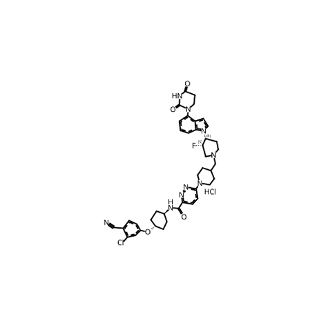 Cl.N#Cc1ccc(O[C@H]2CC[C@H](NC(=O)c3ccc(N4CCC(CN5CC[C@@H](n6ccc7c(N8CCC(=O)NC8=O)cccc76)[C@@H](F)C5)CC4)nn3)CC2)cc1Cl